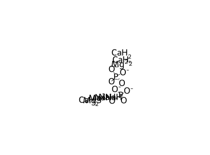 O=P([O-])([O-])[O-].O=P([O-])([O-])[O-].[CaH2].[CaH2].[CaH2].[Mg+2].[Mg+2].[Mg+2].[NaH].[NaH].[NaH]